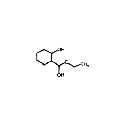 CCOC(O)C1CCCCC1O